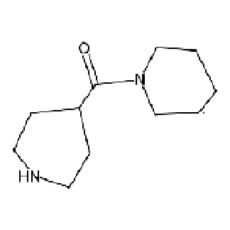 O=C(C1CCNCC1)N1C[CH]CCC1